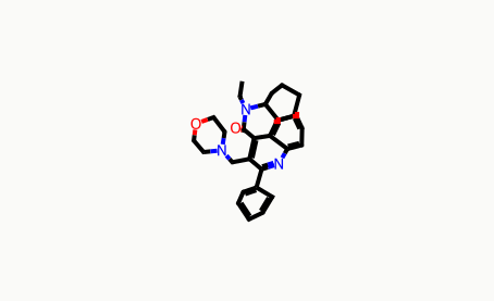 CCN(C(=O)c1c(CN2CCOCC2)c(-c2ccccc2)nc2ccccc12)C1CCCCC1